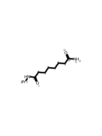 CC(C)NC(=O)CCCCCCC(N)=O